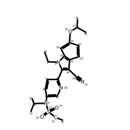 CCn1c(-c2ccc(N(C(C)C)S(=O)(=O)CC)cn2)c(C#N)c2ccc(OC(C)C)cc21